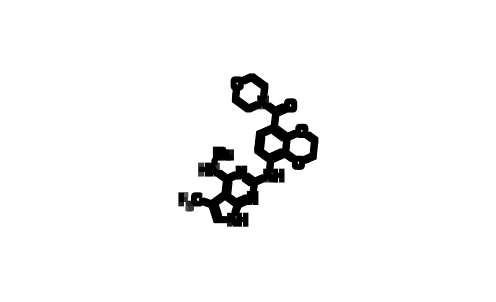 CC[C@@H](C)Nc1nc(Nc2ccc(C(=O)N3CCOCC3)c3c2OCCO3)nc2[nH]cc(C(F)(F)F)c12